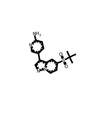 CC(C)(C)S(=O)(=O)c1ccn2ncc(-c3ccc(N)nc3)c2c1